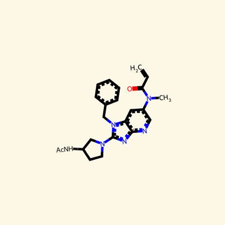 C=CC(=O)N(C)c1cnc2nc(N3CCC(NC(C)=O)C3)n(Cc3ccccc3)c2c1